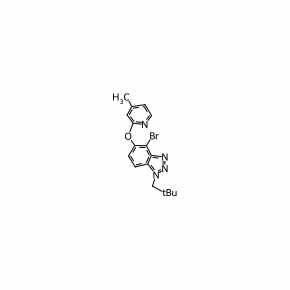 Cc1ccnc(Oc2ccc3c(nnn3CC(C)(C)C)c2Br)c1